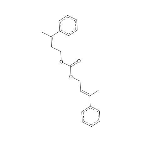 CC(=CCOC(=O)OCC=C(C)c1ccccc1)c1ccccc1